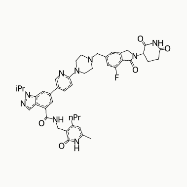 CCCc1cc(C)[nH]c(=O)c1CNC(=O)c1cc(-c2ccc(N3CCN(Cc4cc(F)c5c(c4)CN(C4CCC(=O)NC4=O)C5=O)CC3)nc2)cc2c1cnn2C(C)C